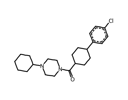 O=C(C1CCC(c2ccc(Cl)cc2)CC1)N1CCN(C2CCCCC2)CC1